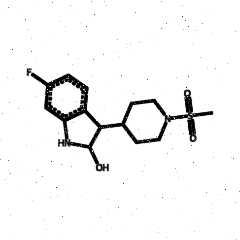 CS(=O)(=O)N1CCC(C2c3ccc(F)cc3NC2O)CC1